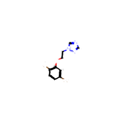 Brc1ccc(Br)c(OCCn2cncn2)c1